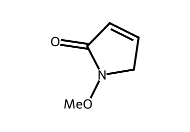 CON1CC=CC1=O